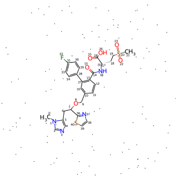 Cn1cncc1CC(OCc1ccc(C(=O)N[C@@H](CCS(C)(=O)=O)C(=O)O)c(-c2ccc(F)cc2)c1)c1nccs1